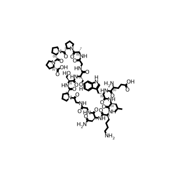 CC(C)C[C@H](NC(=O)[C@H](Cc1c[nH]c2ccccc12)NC(=O)[C@@H](N)CCC(=O)O)C(=O)N[C@@H](CCCCN)C(=O)N[C@@H](CC(N)=O)C(=O)NCC(=O)NCC(=O)N1CCC[C@H]1C(=O)N[C@@H](CO)C(=O)N[C@@H](CO)C(=O)NCC(=O)N[C@@H](C)C(=O)N1CCC[C@H]1C(=O)N1CCC[C@H]1C(=O)N1CCC[C@H]1C(=O)O